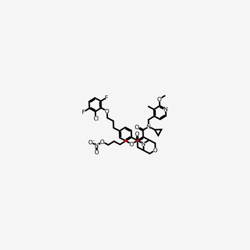 COc1nccc(CN(C(=O)C2=C(c3ccc(CCCOc4c(F)ccc(F)c4Cl)cc3)CC3COCC2N3C(=O)OCCCCO[N+](=O)[O-])C2CC2)c1C